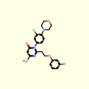 Cc1cc(=O)n(-c2ccc(N3CCOCC3)c(F)c2)c(CCOc2cccc(F)c2)n1